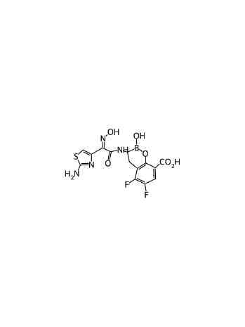 Nc1nc(C(=NO)C(=O)NC2Cc3c(F)c(F)cc(C(=O)O)c3OB2O)cs1